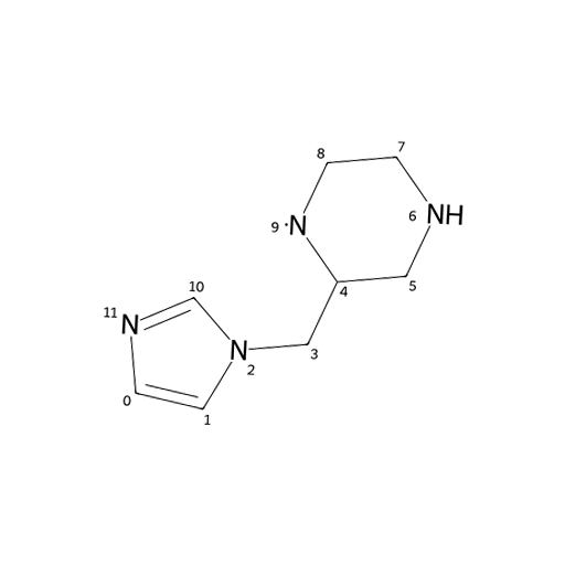 c1cn(CC2CNCC[N]2)cn1